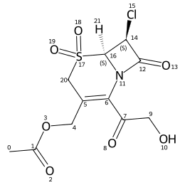 CC(=O)OCC1=C(C(=O)CO)N2C(=O)[C@H](Cl)[C@@H]2S(=O)(=O)C1